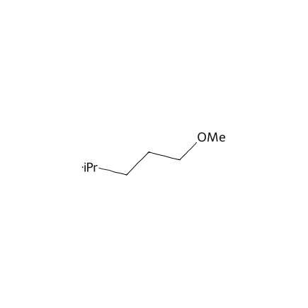 COCCC[C](C)C